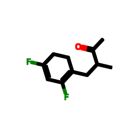 CC(=O)C(C)CC1=C(F)C=C(F)CC1